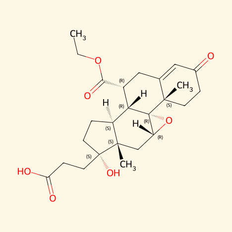 CCOC(=O)[C@@H]1CC2=CC(=O)CC[C@]2(C)[C@@]23O[C@@H]2C[C@@]2(C)[C@@H](CC[C@]2(O)CCC(=O)O)[C@H]13